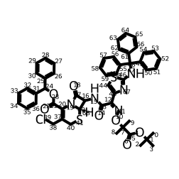 CC(C)(C)OC(=O)C(C)(C)O/N=C(\C(=O)NC1C(=O)N2C(C(=O)OC(c3ccccc3)c3ccccc3)=C(CCl)CS[C@@H]12)c1csc(NC(c2ccccc2)(c2ccccc2)c2ccccc2)n1